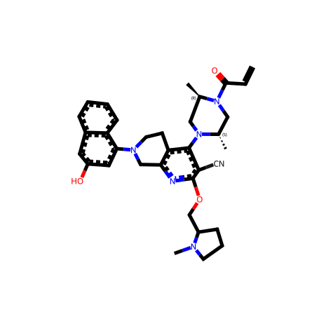 C=CC(=O)N1C[C@H](C)N(c2c(C#N)c(OCC3CCCN3C)nc3c2CCN(c2cc(O)cc4ccccc24)C3)C[C@H]1C